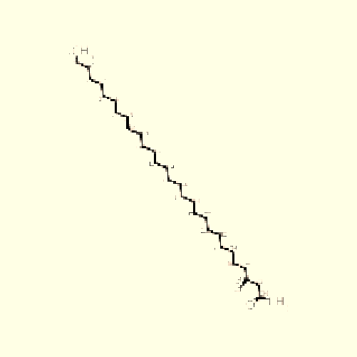 CCCCCCCC/C=C/CCCCCCCCCCCCCCCCCC(=O)CC(C)=O